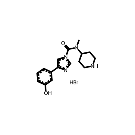 Br.CN(C(=O)n1cnc(-c2cccc(O)c2)c1)C1CCNCC1